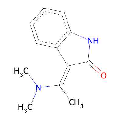 CC(=C1C(=O)Nc2ccccc21)N(C)C